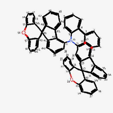 c1ccc(-c2ccccc2N(c2ccc3c(c2)C2(c4ccccc4Oc4ccccc42)c2ccccc2-3)c2cccc3c2-c2ccccc2C32c3ccccc3Oc3ccccc32)cc1